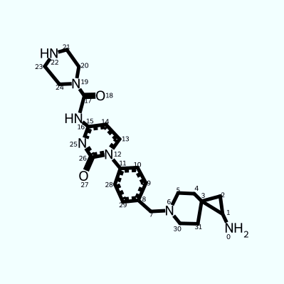 NC1CC12CCN(Cc1ccc(-n3ccc(NC(=O)N4CCNCC4)nc3=O)cc1)CC2